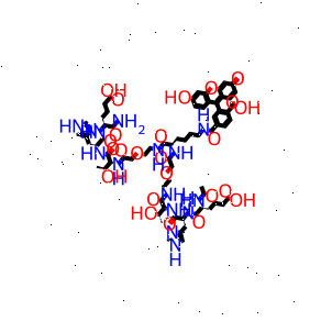 CC(=O)N[C@H](CCCC(=O)O)C(=O)N[C@H](Cc1c[nH]cn1)C(=O)NC(C(=O)NCCOCC(=O)N[C@H](CCCCNC(=O)c1ccc(C(=O)O)c(-c2c3ccc(=O)cc-3oc3cc(O)ccc23)c1)C(=O)NCCOCC(=O)N[C@@H](C(=O)N[C@H](Cc1c[nH]cn1)C(=O)N[C@H](CCCC(=O)O)C(N)=O)[C@H](C)O)[C@H](C)O